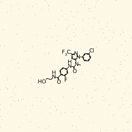 CN(C(=O)Nc1ccc(C(=O)NCCO)c(F)c1)c1cc(C(F)(F)F)nn1-c1cccc(Cl)c1